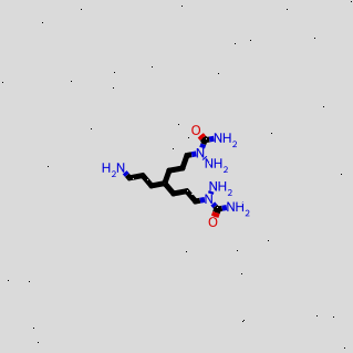 NCCCC(CCCN(N)C(N)=O)CCCN(N)C(N)=O